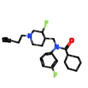 CC(C)(C)CCN1CCC(CN(C(=O)C2CCCCC2)c2cccc(F)c2)C(F)C1